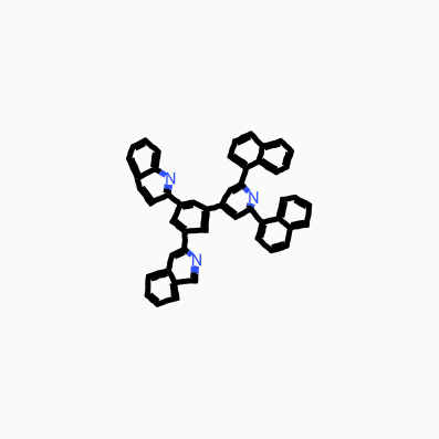 c1ccc2cc(-c3cc(-c4cc(-c5cccc6ccccc56)nc(-c5cccc6ccccc56)c4)cc(-c4ccc5ccccc5n4)c3)ncc2c1